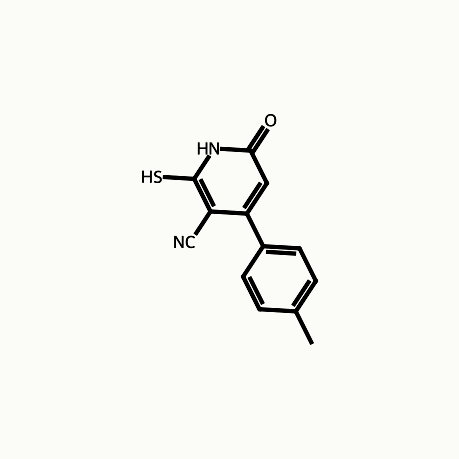 Cc1ccc(-c2cc(=O)[nH]c(S)c2C#N)cc1